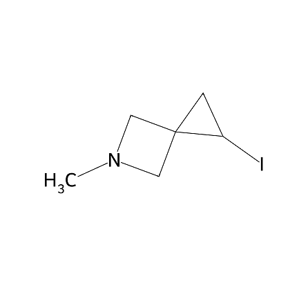 CN1CC2(CC2I)C1